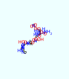 Cc1cc(N(C)c2ccc(-c3cnn(CC45CC6(OCCN(CCCO)C(=O)OCc7ccc(NC(=O)[C@H](CCCNC(N)=O)NC(=O)[C@@H](NC(=O)CCOCCN8C(=O)C=CC8=O)C(C)C)cc7)C[C@](C)(C4)C[C@](C)(C5)C6)c3C)c(C(=O)O)n2)nnc1Nc1nc2ccccc2s1